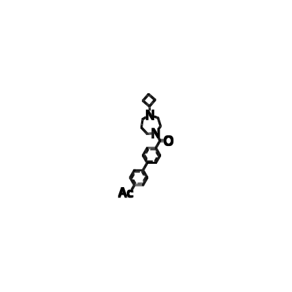 CC(=O)c1ccc(-c2ccc(C(=O)N3CCCN(C4CCC4)CC3)cc2)cc1